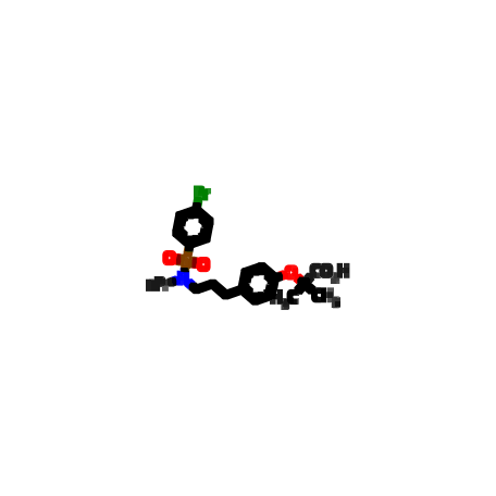 CCCN(CCCc1ccc(OC(C)(C)C(=O)O)cc1)S(=O)(=O)c1ccc(Br)cc1